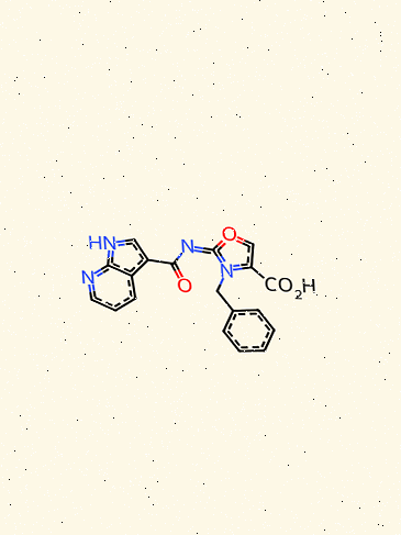 O=C(/N=c1/occ(C(=O)O)n1Cc1ccccc1)c1c[nH]c2ncccc12